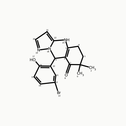 CC1(C)CCC2=C(C1=O)C(c1cc(Br)ccc1O)n1nccc1N2